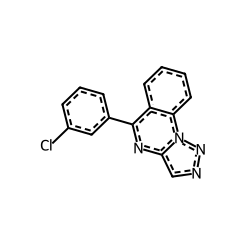 Clc1cccc(-c2nc3cnnn3c3ccccc23)c1